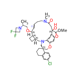 COC(=O)[C@@]1(O)CC(=O)N(C)CC/C=C/[C@H](OCC(C)N2CC(F)(F)C2)[C@@H]2CC[C@H]2CN2C[C@@]3(CCCc4cc(Cl)ccc43)COc3ccc1cc32